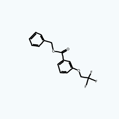 O=C(OCc1ccccc1)c1cccc(OCC(F)(F)F)c1